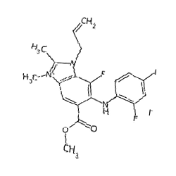 C=CCn1c(C)[n+](C)c2cc(C(=O)OC)c(Nc3ccc(I)cc3F)c(F)c21.[I-]